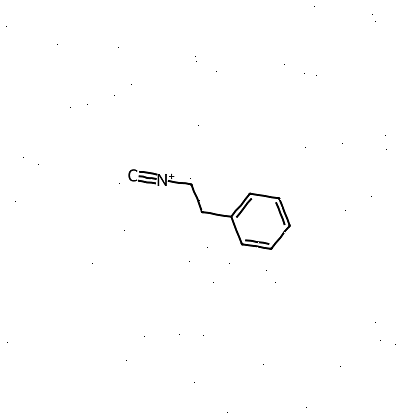 [C-]#[N+]CCc1ccccc1